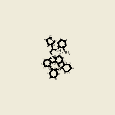 Nc1ccccc1NC(Cn1c2cccc3c4ccccc4n4c5c(c6ccc1c(c32)c64)C=CCC5)c1ccccc1